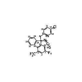 Fc1cc(C(F)(F)F)cc(C(Cc2ccc(Cl)cn2)(N=C=S)c2ccccc2)c1